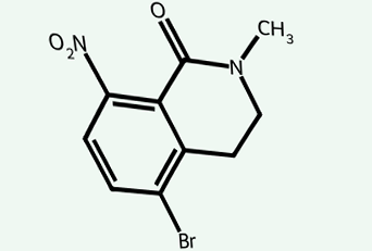 CN1CCc2c(Br)ccc([N+](=O)[O-])c2C1=O